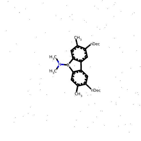 CCCCCCCCCCc1cc2c(cc1C)B(N(C)C)c1cc(C)c(CCCCCCCCCC)cc1-2